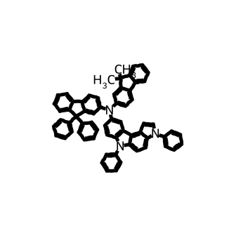 CC1(C)c2ccccc2-c2ccc(N(c3ccc4c(c3)C(c3ccccc3)(c3ccccc3)c3ccccc3-4)c3ccc4c(c3)c3c5ccn(-c6ccccc6)c5ccc3n4-c3ccccc3)cc21